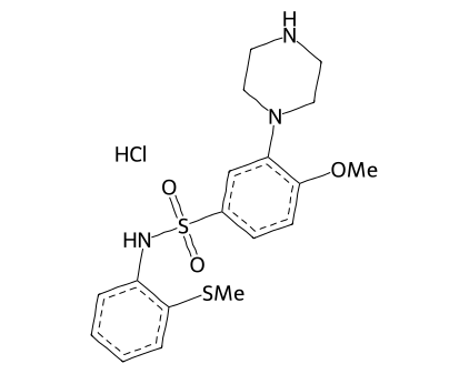 COc1ccc(S(=O)(=O)Nc2ccccc2SC)cc1N1CCNCC1.Cl